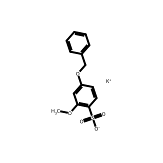 COc1cc(OCc2ccccc2)ccc1S(=O)(=O)[O-].[K+]